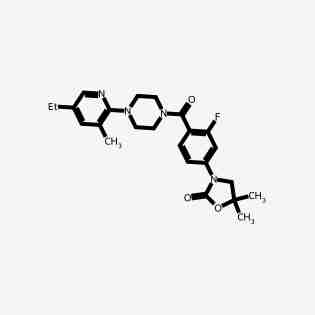 CCc1cnc(N2CCN(C(=O)c3ccc(N4CC(C)(C)OC4=O)cc3F)CC2)c(C)c1